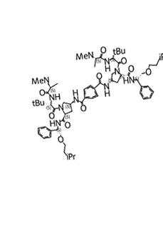 CN[C@@H](C)C(=O)N[C@H](C(=O)N1C[C@@H](NC(=O)c2ccc(C(=O)N[C@H]3C[C@@H](C(=O)N[C@H](COCCC(C)C)c4ccccc4)N(C(=O)[C@@H](NC(=O)[C@H](C)NC)C(C)(C)C)C3)cc2)C[C@H]1C(=O)N[C@H](COCCC(C)C)c1ccccc1)C(C)(C)C